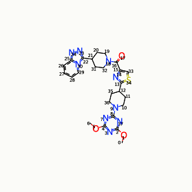 COc1nc(OC)nc(N2CCC(c3nc(C(=O)N4CCC(c5nnc6ccccn56)CC4)cs3)CC2)n1